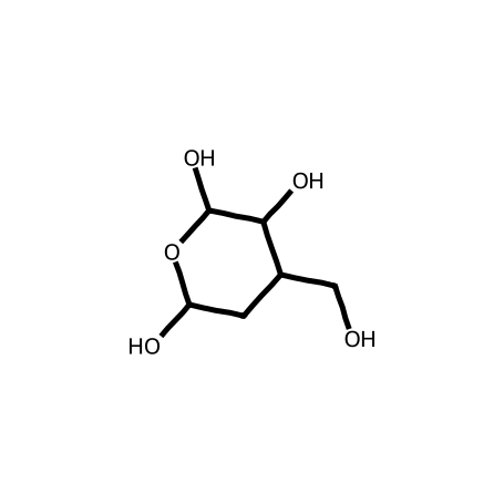 OCC1CC(O)OC(O)C1O